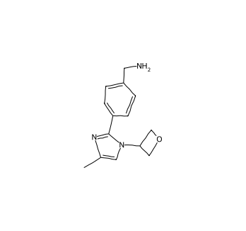 Cc1cn(C2COC2)c(-c2ccc(CN)cc2)n1